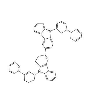 C1=CCC(C2C=CC=C(n3c4ccccc4c4cc(C5=Cc6c(n(C7C=C(c8ccccc8)CCC7)c7ccccc67)CC5)ccc43)C2)C=C1